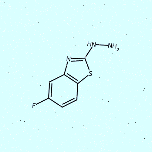 NNc1nc2cc(F)ccc2s1